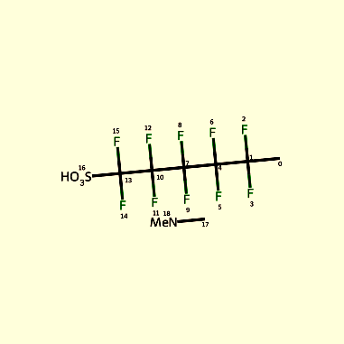 CC(F)(F)C(F)(F)C(F)(F)C(F)(F)C(F)(F)S(=O)(=O)O.CNC